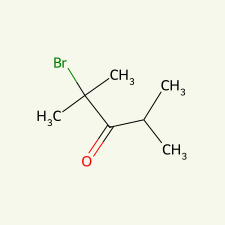 CC(C)C(=O)C(C)(C)Br